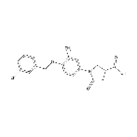 Cc1cc(N2CC(C(=O)O)CC2=O)ccc1OCc1cccc(Cl)c1